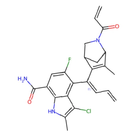 C=C/C=C(\C1=C(C)C2CC1CN2C(=O)C=C)c1c(F)cc(C(N)=O)c2[nH]c(C)c(Cl)c12